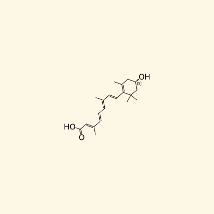 CC(C=CC1=C(C)C[C@@H](O)CC1(C)C)=CC=CC(C)=CC(=O)O